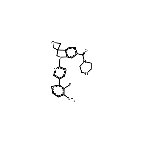 Nc1cccc(-c2cnc(N3CC4(COC4)c4ccc(C(=O)N5CCOCC5)cc43)nc2)c1F